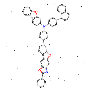 c1ccc(-c2nc3cc4oc5cc(-c6ccc(N(c7ccc(-c8cccc9ccccc89)cc7)c7ccc8c(c7)oc7ccccc78)cc6)ccc5c4cc3o2)cc1